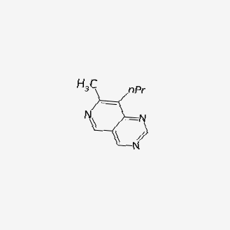 CCCc1c(C)ncc2cncnc12